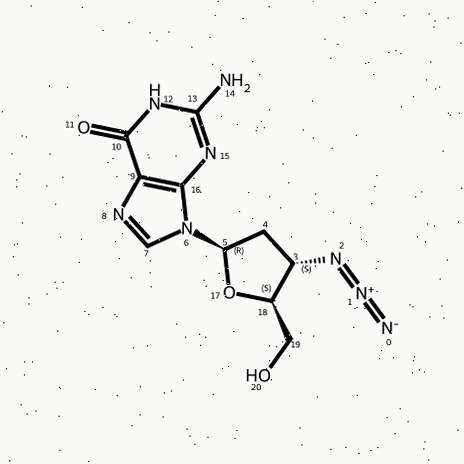 [N-]=[N+]=N[C@H]1C[C@H](n2cnc3c(=O)[nH]c(N)nc32)O[C@@H]1CO